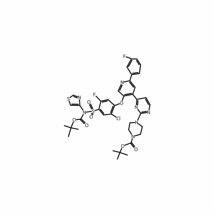 CC(C)(C)OC(=O)N1CCN(c2nccc(-c3cc(-c4cccc(F)c4)ncc3Oc3cc(F)c(S(=O)(=O)N(C(=O)OC(C)(C)C)c4cscn4)cc3Cl)n2)CC1